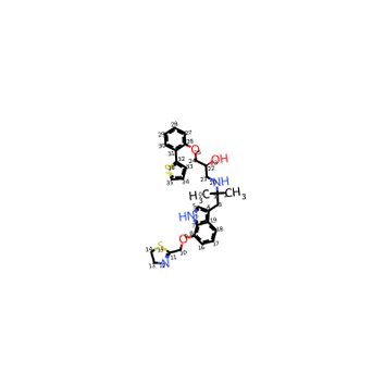 CC(C)(Cc1c[nH]c2c(OCC3=NCCS3)cccc12)NC[C@H](O)COc1ccccc1-c1cccs1